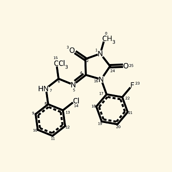 CN1C(=O)C(=NC(Nc2ccccc2Cl)C(Cl)(Cl)Cl)N(c2ccccc2F)C1=O